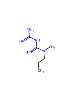 CCCN(C)C(=N)NC(=N)N